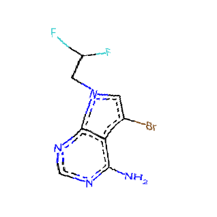 Nc1ncnc2c1c(Br)cn2CC(F)F